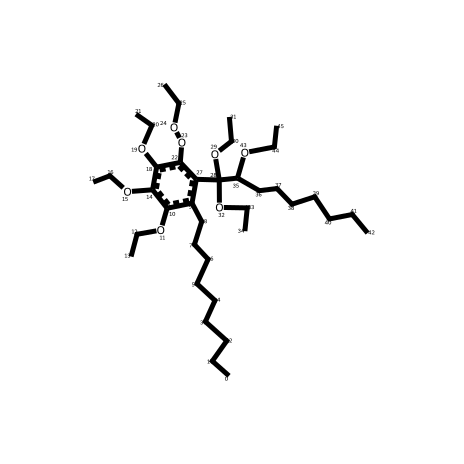 CCCCCCCCCc1c(OCC)c(OCC)c(OCC)c(OOCC)c1C(OCC)(OCC)C(CCCCCCC)OCC